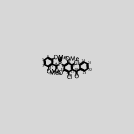 COc1cccc(OC)c1C(=O)[PH](=O)c1c(OC)c(Cl)c(C(=O)c2ccccc2)c(Cl)c1OC